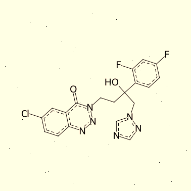 O=c1c2cc(Cl)ccc2nnn1CCC(O)(Cn1cncn1)c1ccc(F)cc1F